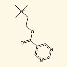 C[N+](C)(C)CCOC(=O)c1cncnc1